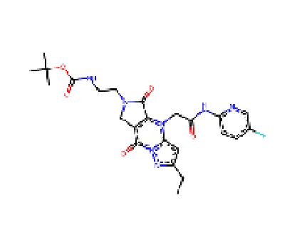 CCc1cc2n(CC(=O)Nc3ccc(F)cn3)c3c(c(=O)n2n1)CN(CCNC(=O)OC(C)(C)C)C3=O